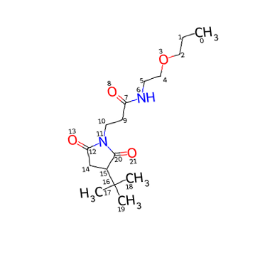 CCCOCCNC(=O)CCN1C(=O)CC(C(C)(C)C)C1=O